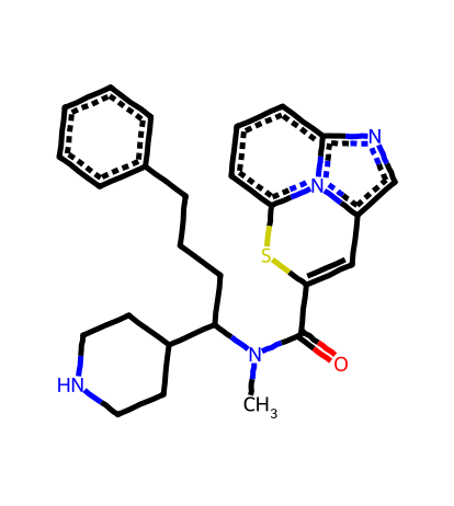 CN(C(=O)C1=Cc2cnc3cccc(n23)S1)C(CCCc1ccccc1)C1CCNCC1